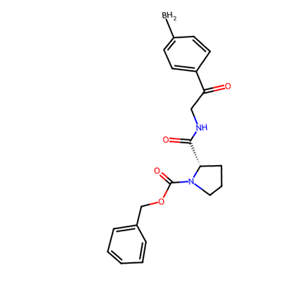 Bc1ccc(C(=O)CNC(=O)[C@@H]2CCCN2C(=O)OCc2ccccc2)cc1